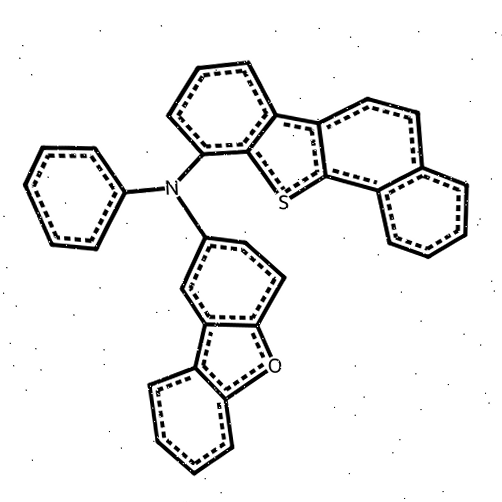 c1ccc(N(c2ccc3oc4ccccc4c3c2)c2cccc3c2sc2c4ccccc4ccc32)cc1